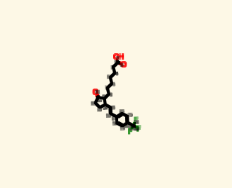 O=C(O)CCCCCCC1C(=O)CCC1/C=C/c1ccc(C(F)(F)F)cc1